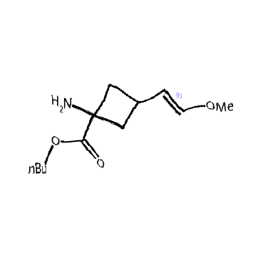 CCCCOC(=O)C1(N)CC(/C=C/OC)C1